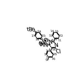 Cc1ccc(-c2c(Cl)nc(-c3ccccc3)nc2NS(=O)(=O)c2ccc(C(C)(C)C)cc2)cc1